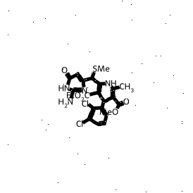 CCOC(=O)C1=C(C(SC)c2cc(=O)[nH]c(N)n2)NC(C)=C(C(=O)OC)C1c1cccc(Cl)c1Cl